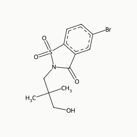 CC(C)(CO)CN1C(=O)c2cc(Br)ccc2S1(=O)=O